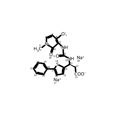 Cn1ccc([O-])c(NC(=O)N[C@@H](CC(=O)[O-])c2ccc(-c3ccccc3)s2)c1=O.[Na+].[Na+]